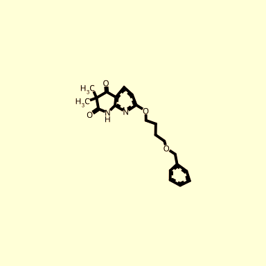 CC1(C)C(=O)Nc2nc(OCCCCOCc3ccccc3)ccc2C1=O